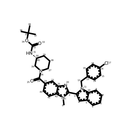 Cn1c(-c2cc3ccccc3n2Cc2ccc(Cl)cc2)nc2cc(C(=O)N3CCC[C@@H](NC(=O)OC(C)(C)C)C3)ccc21